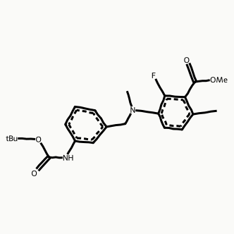 COC(=O)c1c(C)ccc(N(C)Cc2cccc(NC(=O)OC(C)(C)C)c2)c1F